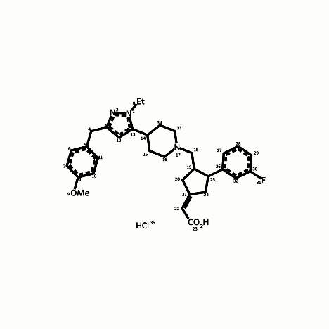 CCn1nc(Cc2ccc(OC)cc2)cc1C1CCN(CC2CC(=CC(=O)O)CC2c2cccc(F)c2)CC1.Cl